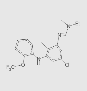 CCN(C)C=Nc1cc(Cl)cc(Nc2ccccc2OC(F)(F)F)c1C